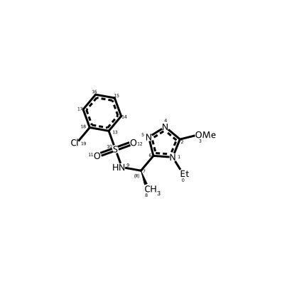 CCn1c(OC)nnc1[C@@H](C)NS(=O)(=O)c1ccccc1Cl